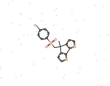 CC1(CS(=O)(=O)c2ccc(Cl)cc2)c2ccsc2-c2sccc21